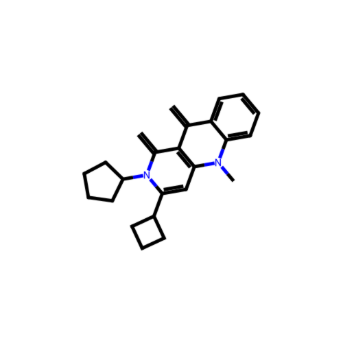 C=C1C2=C(C=C(C3CCC3)N(C3CCCC3)C2=C)N(C)c2ccccc21